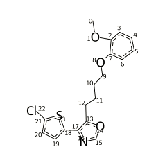 COc1ccccc1OCCCCc1ocnc1-c1ccc(Cl)s1